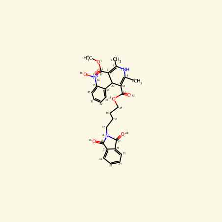 COC(=O)C1=C(C)NC(C)=C(C(=O)OCCCCN2C(=O)c3ccccc3C2=O)C1c1ccccc1[N+](=O)[O-]